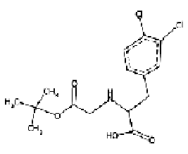 CC(C)(C)OC(=O)CNC(Cc1ccc(Cl)c(Cl)c1)C(=O)O